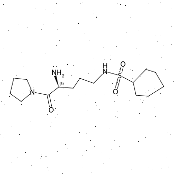 N[C@@H](CCCNS(=O)(=O)C1CCCCC1)C(=O)N1CCCC1